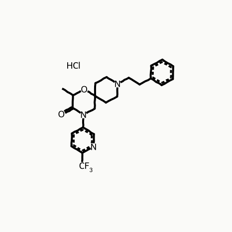 CC1OC2(CCN(CCc3ccccc3)CC2)CN(c2ccc(C(F)(F)F)nc2)C1=O.Cl